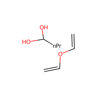 C=COC=C.CCCC(O)O